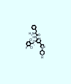 C[C@@H](Oc1cc(-c2cnn(C3CCNCC3)c2)cnc1NC(=O)[C@@H](N)Cc1ccccc1)c1c(Cl)ccc(F)c1Cl